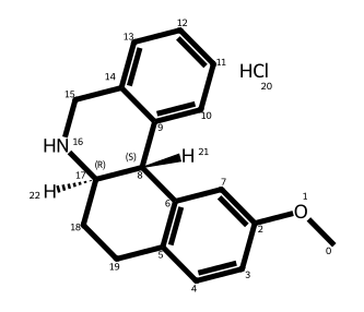 COc1ccc2c(c1)[C@H]1c3ccccc3CN[C@@H]1CC2.Cl